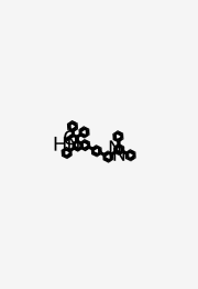 C=C=C(/C(=C1\NC(c2ccccc2)=Cc2cc(-c3ccc(-c4cccc(-c5nc(-c6ccccc6)cc(-c6ccccc6)n5)c4)cc3)ccc21)c1ccccc1)c1ccccc1